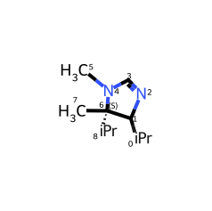 CC(C)C1N=CN(C)[C@@]1(C)C(C)C